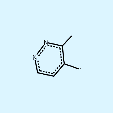 [CH2]c1ccnnc1C